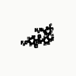 CC1(C)C[C@@](C)(c2cc(NC(=O)c3ncc(C(F)(F)F)cc3Cl)ccc2F)N=C(N)S1